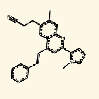 Cc1cc2nc(-c3cncn3C)cc(/C=C/c3cccnc3)c2cc1CCC#N